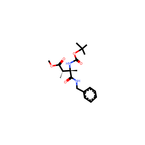 COC(=O)[C@@H](C)[C@](C)(NC(=O)OC(C)(C)C)C(=O)NCc1ccccc1